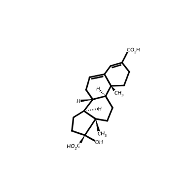 C[C@]12CCC(C(=O)O)=CC1=CC[C@@H]1[C@@H]2CC[C@@]2(C)[C@H]1CC[C@]2(O)C(=O)O